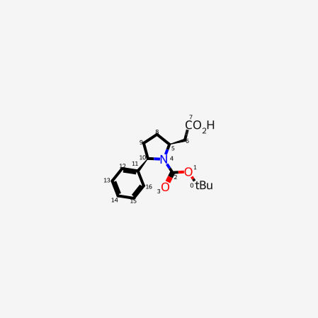 CC(C)(C)OC(=O)N1[C@H](CC(=O)O)CC[C@@H]1c1ccccc1